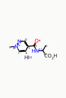 CC(NC(=O)c1cc[n+](C)nc1)C(=O)O.I